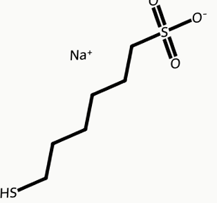 O=S(=O)([O-])CCCCCCS.[Na+]